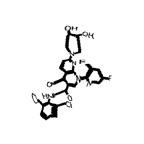 O=C(Nc1c(Cl)cccc1Cl)c1cn(-c2ncc(F)cc2F)c2nc(N3CC(O)C(O)C3)ccc2c1=O